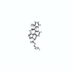 C=CCNCc1nnc2n1-c1c(F)cccc1C(c1ccccc1Cl)=NC2